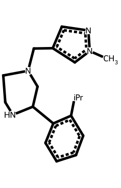 CC(C)c1ccccc1C1CN(Cc2cnn(C)c2)CCN1